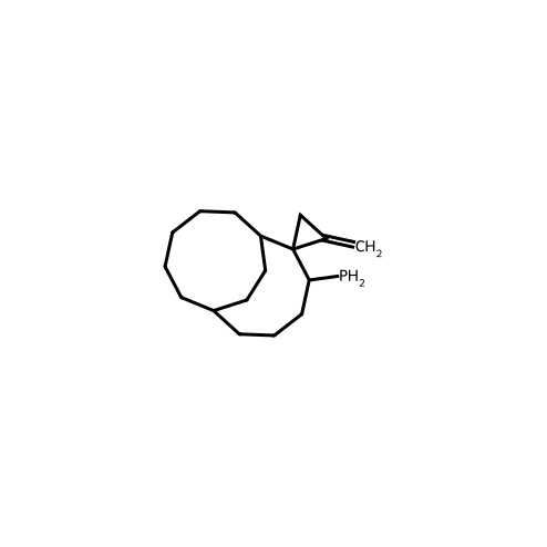 C=C1CC12C(P)CCCC1CCCCCC2CC1